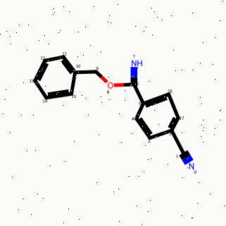 N#Cc1ccc(C(=N)OCc2ccccc2)cc1